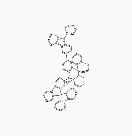 CC12C=CC=CC1C1(c3ccccc3Oc3ccccc31)c1cc(-c3ccc4c(c3)c3ccccc3n4-c3ccccc3)ccc1N2c1ccc2c(c1)C1(c3ccccc3-c3ccccc31)c1ccccc1-2